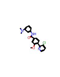 COc1cc(C(=O)Nc2cccc(N(C)C)c2)ccc1-c1ncccc1Cl